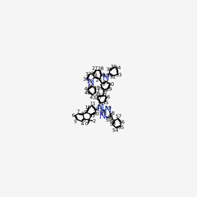 CC1(C)c2ccccc2-c2ccc(N(c3ccc(-c4ccc5c(c4)c4c6c(ccc4n5-c4ccccc4)ccn6-c4ccccc4)cc3)c3ncc(-c4ccccc4)cn3)cc21